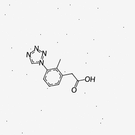 Cc1c(CC(=O)O)cccc1-n1cnnn1